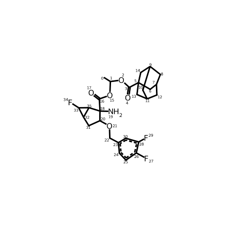 CC(OC(=O)C12CC3CC(CC(C3)C1)C2)OC(=O)C1(N)C(OCc2ccc(F)c(F)c2)CC2C(F)C21